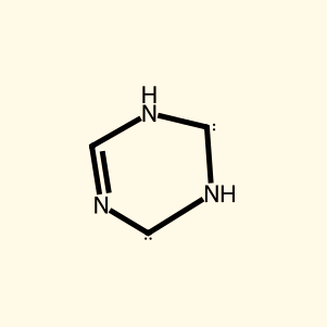 [C]1N=CN[C]N1